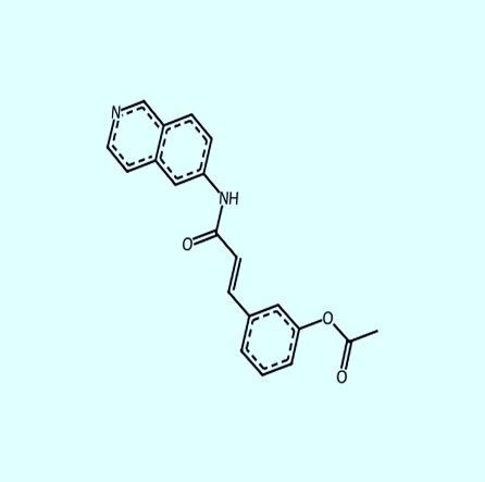 CC(=O)Oc1cccc(/C=C/C(=O)Nc2ccc3cnccc3c2)c1